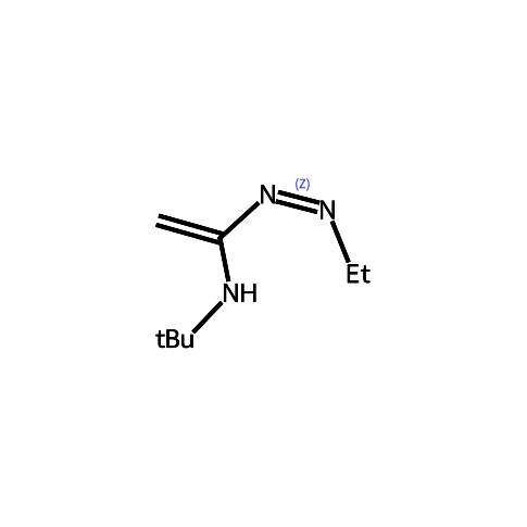 C=C(/N=N\CC)NC(C)(C)C